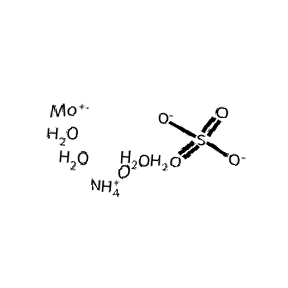 O.O.O.O.O=S(=O)([O-])[O-].[Mo+].[NH4+]